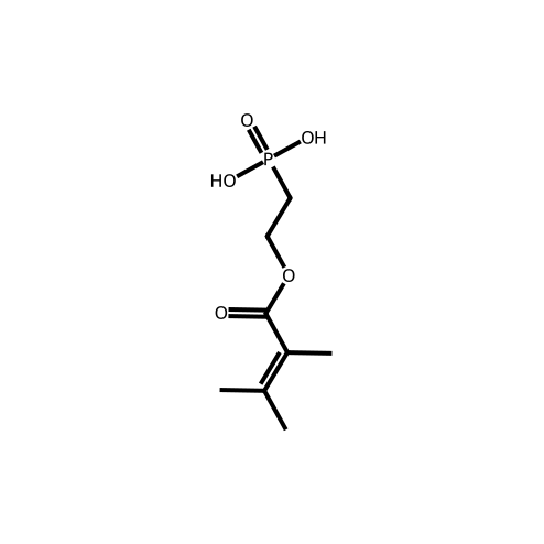 CC(C)=C(C)C(=O)OCCP(=O)(O)O